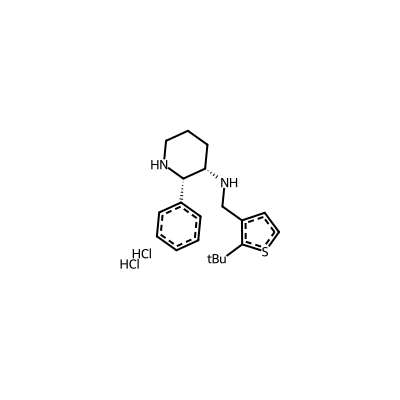 CC(C)(C)c1sccc1CN[C@H]1CCCN[C@H]1c1ccccc1.Cl.Cl